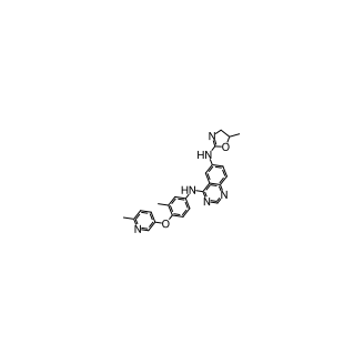 Cc1ccc(Oc2ccc(Nc3ncnc4ccc(NC5=NCC(C)O5)cc34)cc2C)cn1